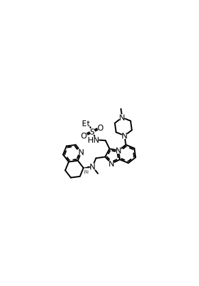 CCS(=O)(=O)NCc1c(CN(C)[C@H]2CCCc3cccnc32)nc2cccc(N3CCN(C)CC3)n12